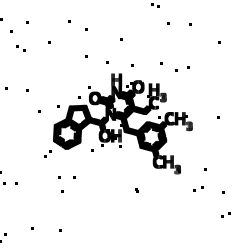 CCc1c(Cc2cc(C)cc(C)c2)n(C(O)C2CCc3ccccc32)c(=O)[nH]c1=O